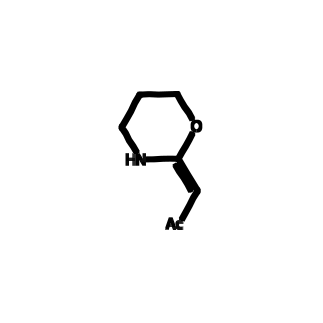 CC(=O)C=C1NCCCO1